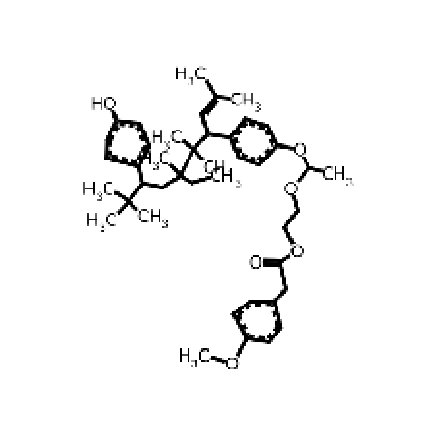 CCC(C)(CC(c1ccc(O)cc1)C(C)(C)C)C(C)(C)C(C=C(C)C)c1ccc(OC(C)OCCOC(=O)Cc2ccc(OC)cc2)cc1